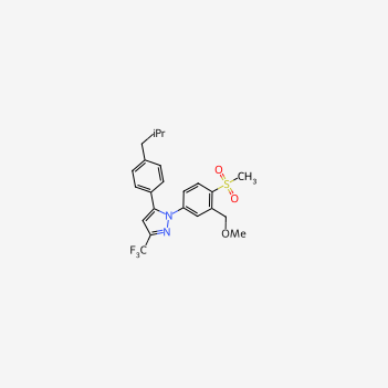 COCc1cc(-n2nc(C(F)(F)F)cc2-c2ccc(CC(C)C)cc2)ccc1S(C)(=O)=O